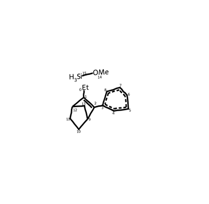 CCC1=C(c2ccccc2)C2CCC1C2.CO[SiH3]